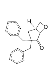 O=C1C2OC[C@@H]2CC1(Cc1ccccc1)Cc1ccccc1